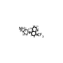 NCC1CCN(c2ccc(C(F)(F)F)c3ncccc23)CC1